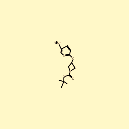 [C-]#[N+]c1ccc(OC2CN(C(=O)OC(C)(C)C)C2)nc1